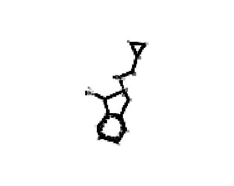 OC1c2ccccc2C[C@@H]1NCC1CC1